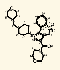 O=C(c1nn(C2CCC(CN3CCOCC3)CC2)c2c1CS(=O)(=O)c1ccccc1-2)N1CCOCC1